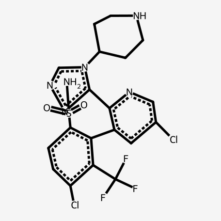 NS(=O)(=O)c1ccc(Cl)c(C(F)(F)F)c1-c1cc(Cl)cnc1-c1nncn1C1CCNCC1